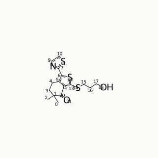 CC1(C)CCc2c(-c3nccs3)sc(SCCCO)c2C1=O